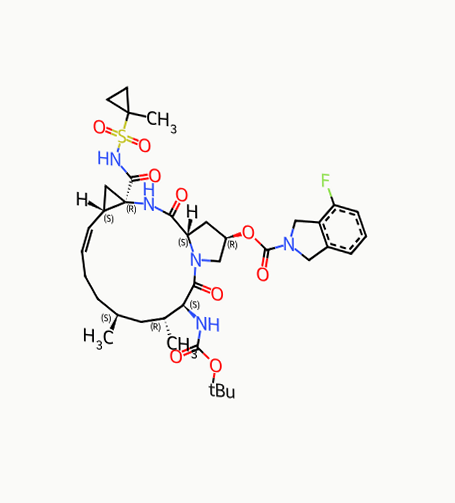 C[C@H]1CCC=C[C@@H]2C[C@@]2(C(=O)NS(=O)(=O)C2(C)CC2)NC(=O)[C@@H]2C[C@@H](OC(=O)N3Cc4cccc(F)c4C3)CN2C(=O)[C@@H](NC(=O)OC(C)(C)C)[C@H](C)C1